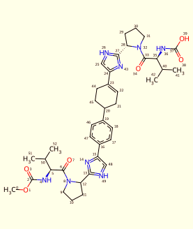 COC(=O)N[C@H](C(=O)N1CCCC1c1nc(-c2ccc(C3CC=C(c4c[nH]c([C@@H]5CCCN5C(=O)[C@@H](NC(=O)O)C(C)C)n4)CC3)cc2)c[nH]1)C(C)C